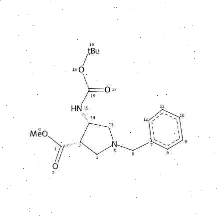 COC(=O)[C@H]1CN(Cc2ccccc2)C[C@H]1NC(=O)OC(C)(C)C